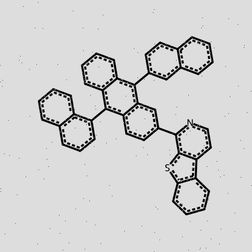 c1ccc2cc(-c3c4ccccc4c(-c4cccc5ccccc45)c4ccc(-c5nccc6c5sc5ccccc56)cc34)ccc2c1